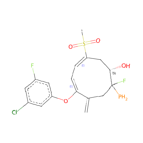 C=C1CC(F)(P)[C@@H](O)C/C(S(C)(=O)=O)=C\C=C/1Oc1cc(F)cc(Cl)c1